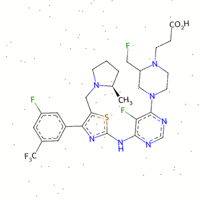 C[C@@H]1CCCN1Cc1sc(Nc2ncnc(N3CCN(CCC(=O)O)C(CF)C3)c2F)nc1-c1cc(F)cc(C(F)(F)F)c1